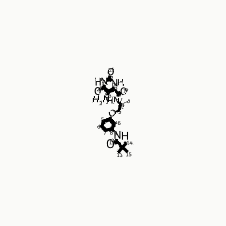 C[C@H](COc1cccc(NC(=O)C(C)(C)C)c1)NC(=O)c1[nH]c(=O)[nH]c(=O)c1N